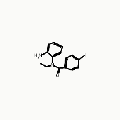 CCN(C(=O)c1ccc(I)cc1)c1ccccc1N